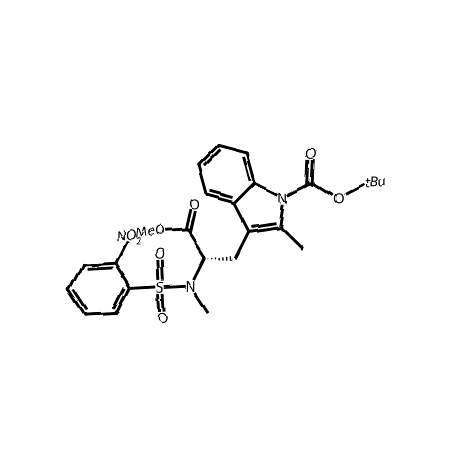 COC(=O)[C@H](Cc1c(C)n(C(=O)OC(C)(C)C)c2ccccc12)N(C)S(=O)(=O)c1ccccc1[N+](=O)[O-]